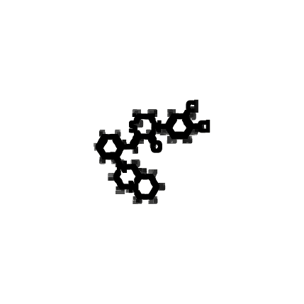 O=C1C(=Cc2ccccc2N2CCN3CCCCC3C2)SCCN1c1ccc(Cl)c(Cl)c1